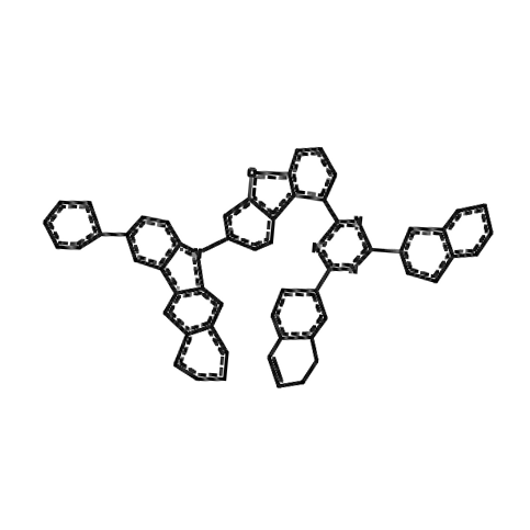 C1=Cc2ccc(-c3nc(-c4ccc5ccccc5c4)nc(-c4cccc5oc6cc(-n7c8ccc(-c9ccccc9)cc8c8cc9ccccc9cc87)ccc6c45)n3)cc2CC1